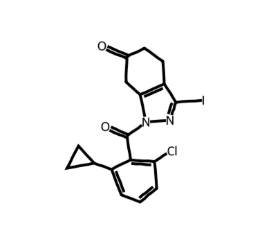 O=C1CCc2c(I)nn(C(=O)c3c(Cl)cccc3C3CC3)c2C1